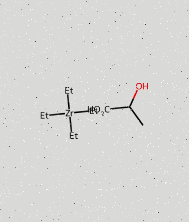 CC(O)C(=O)O.C[CH2][Zr]([CH2]C)([CH2]C)[CH2]C